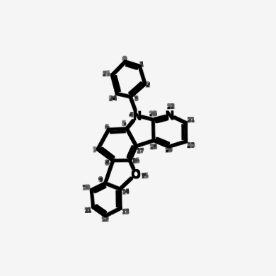 c1ccc(-n2c3ccc4c5ccccc5oc4c3c3cccnc32)cc1